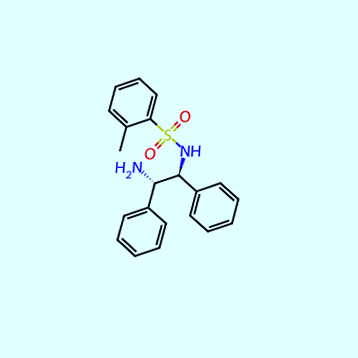 Cc1ccccc1S(=O)(=O)N[C@@H](c1ccccc1)[C@@H](N)c1ccccc1